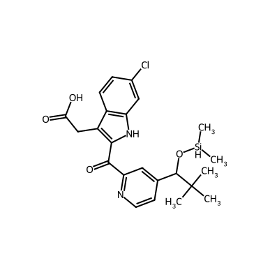 C[SiH](C)OC(c1ccnc(C(=O)c2[nH]c3cc(Cl)ccc3c2CC(=O)O)c1)C(C)(C)C